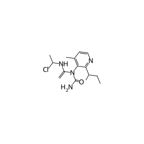 C=C(NC(C)Cl)N(C(N)=O)c1c(C)ccnc1C(C)CC